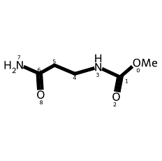 COC(=O)NCCC(N)=O